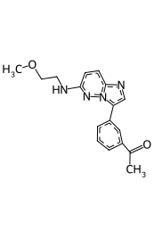 COCCNc1ccc2ncc(-c3cccc(C(C)=O)c3)n2n1